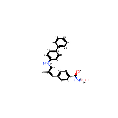 CC(=Cc1ccc(C(=O)NO)cc1)CNc1ccc(-c2ccccc2)cc1